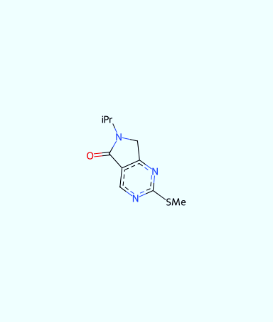 CSc1ncc2c(n1)CN(C(C)C)C2=O